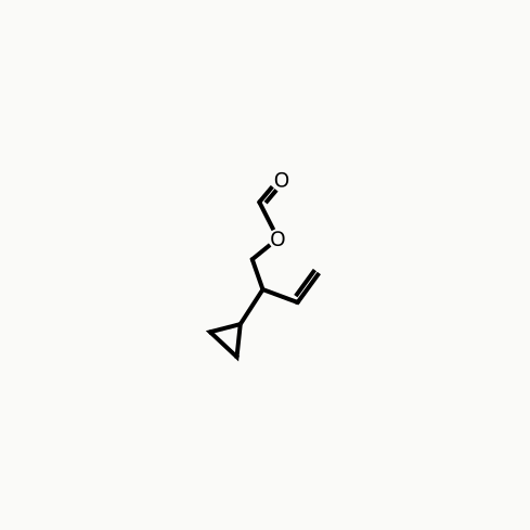 C=CC(COC=O)C1CC1